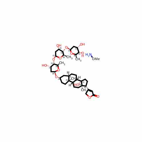 CON.C[C@H]1O[C@@H](O[C@H]2[C@@H](O)C[C@H](O[C@H]3[C@@H](O)C[C@H](O[C@H]4CC[C@@]5(C)[C@H](CC[C@@H]6[C@@H]5CC[C@]5(C)[C@@H](C7=CC(=O)OC7)CC[C@]65O)C4)O[C@@H]3C)O[C@@H]2C)C[C@H](O)[C@@H]1O